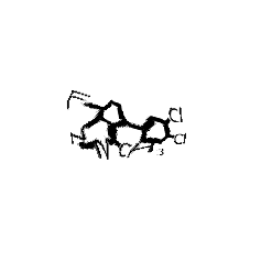 Cc1ncnc2c(F)ccc(-c3ccc(Cl)c(Cl)c3)c12